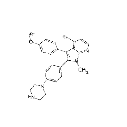 CC(C)Oc1ccc(-c2c(-c3ccc(N4CCNCC4)cc3)n(C)c3nccc(Cl)c23)cc1